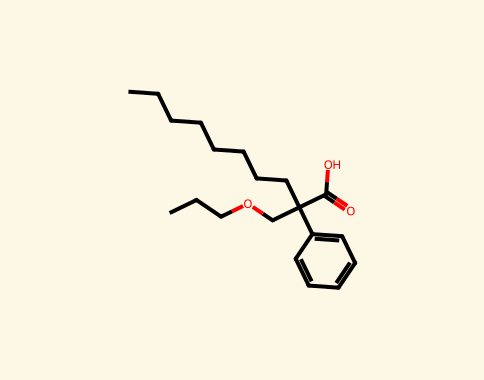 CCCCCCCCC(COCCC)(C(=O)O)c1ccccc1